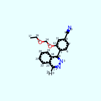 [2H]c1nnc(-c2ccc(C#N)cc2OCOCC)c2ccccc12